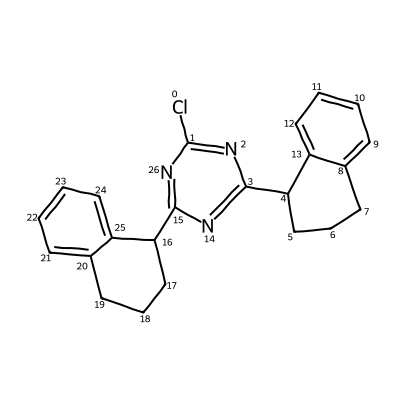 Clc1nc(C2CCCc3ccccc32)nc(C2CCCc3ccccc32)n1